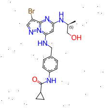 C[C@@H](CO)Nc1cc(NCc2ccc(NC(=O)C3CC3)cc2)n2ncc(Br)c2n1